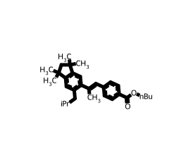 CCCCOC(=O)c1ccc(C=C(C)c2cc3c(cc2CC(C)C)C(C)(C)CC3(C)C)cc1